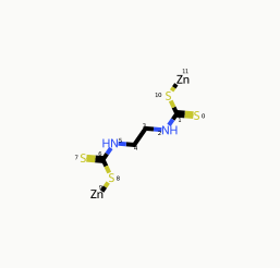 S=C(NCCNC(=S)[S][Zn])[S][Zn]